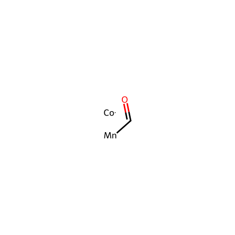 O=[CH][Mn].[Co]